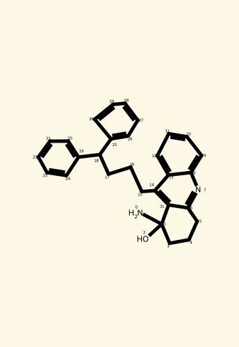 NC1(O)CCCc2nc3ccccc3c(CCCC(c3ccccc3)c3ccccc3)c21